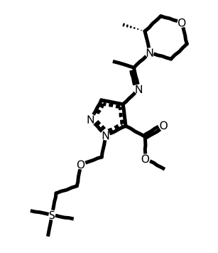 COC(=O)c1c(/N=C(\C)N2CCOC[C@H]2C)cnn1COCCS(C)(C)C